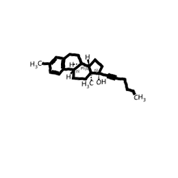 CCCCC#C[C@]1(O)CC[C@H]2[C@@H]3CCc4cc(C)ccc4[C@H]3CC[C@@]21C